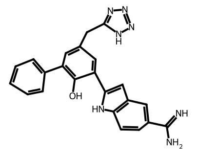 N=C(N)c1ccc2[nH]c(-c3cc(Cc4nnn[nH]4)cc(-c4ccccc4)c3O)cc2c1